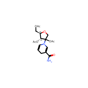 CC(=O)OC[C@H]1OCC(OC(C)=O)(N2C=CCC(C(N)=O)=C2)[C@@H]1OC(C)=O